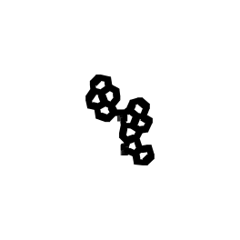 c1cc2ccc3ccc(-n4c5cccc6ccc7c8c(cc4c7c65)sc4ccccc48)c4ccc(c1)c2c34